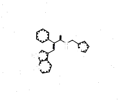 O=C(NCc1ccco1)/C(=C/c1c[nH]c2ncccc12)c1ccccc1